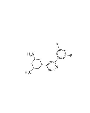 CC1CC(N)CC(c2ccnc(-c3cc(F)[c]c(F)c3)c2)C1